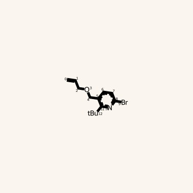 C=CCOCc1ccc(Br)nc1C(C)(C)C